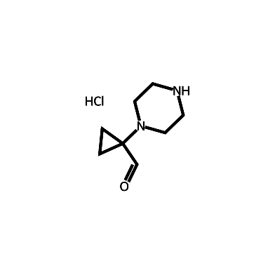 Cl.O=CC1(N2CCNCC2)CC1